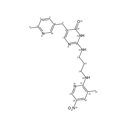 Cc1ccc(Cc2cnc(NCCCNc3ncc([N+](=O)[O-])cc3C)[nH]c2=O)cn1